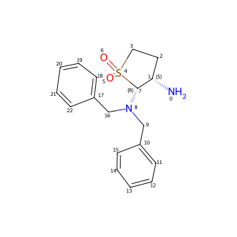 N[C@H]1CCS(=O)(=O)[C@H]1N(Cc1ccccc1)Cc1ccccc1